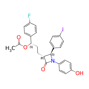 CC(=O)O[C@@H](CC[C@H]1C(=O)N(c2ccc(O)cc2)[C@@H]1c1ccc(I)cc1)c1ccc(F)cc1